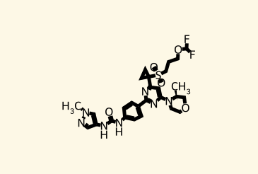 C[C@H]1COCCN1c1cc(C2(S(=O)(=O)CCCOC(F)F)CC2)nc(-c2ccc(NC(=O)Nc3cnn(C)c3)cc2)n1